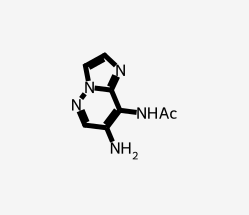 CC(=O)Nc1c(N)cnn2ccnc12